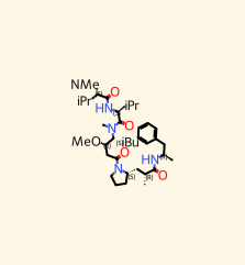 CC[C@H](C)C([C@@H](CC(=O)N1CCC[C@H]1C[C@@H](C)C(=O)N[C@H](C)Cc1ccccc1)OC)N(C)C(=O)[C@@H](NC(=O)[C@@H](NC)C(C)C)C(C)C